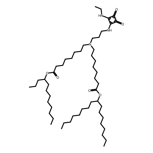 CCCCCCCCC(CCC)OC(=O)CCCCCCCN(CCCCCCCC(=O)OC(CCCCCCCC)CCCCCCCC)CCCNc1c(NCC)c(=O)c1=O